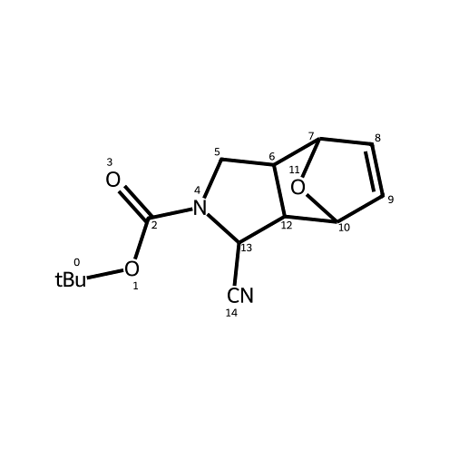 CC(C)(C)OC(=O)N1CC2C3C=CC(O3)C2C1C#N